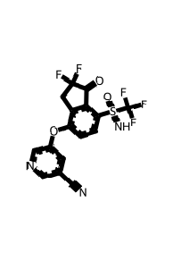 N#Cc1cncc(Oc2ccc(S(=N)(=O)C(F)(F)F)c3c2CC(F)(F)C3=O)c1